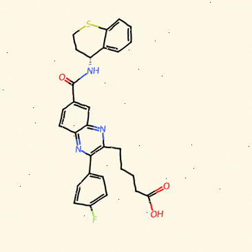 O=C(O)CCCCc1nc2cc(C(=O)N[C@@H]3CCSc4ccccc43)ccc2nc1-c1ccc(F)cc1